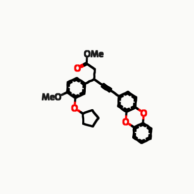 COC(=O)CC(C#Cc1ccc2c(c1)Oc1ccccc1O2)c1ccc(OC)c(OC2CCCC2)c1